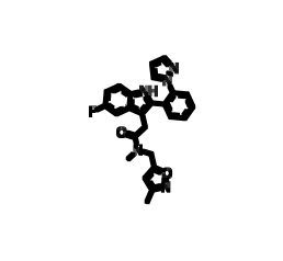 Cc1cc(CN(C)C(=O)Cc2c(-c3ccccc3-n3cccn3)[nH]c3ccc(F)cc23)on1